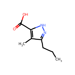 CCCc1n[nH]c(C(=O)O)c1C